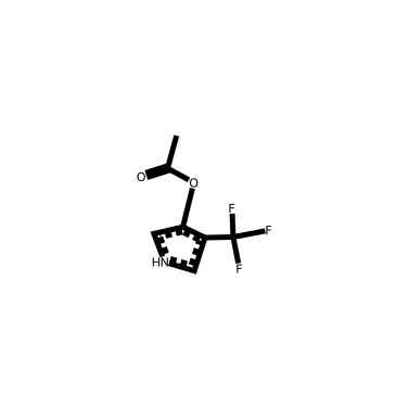 CC(=O)Oc1c[nH]cc1C(F)(F)F